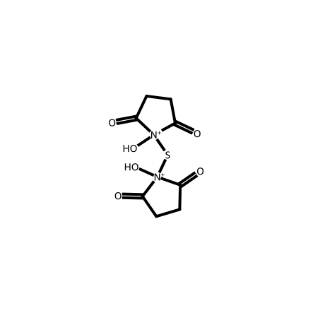 O=C1CCC(=O)[N+]1(O)S[N+]1(O)C(=O)CCC1=O